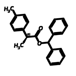 Cc1ccc([C@H](C)C(=O)OC(c2ccccc2)c2ccccc2)cc1